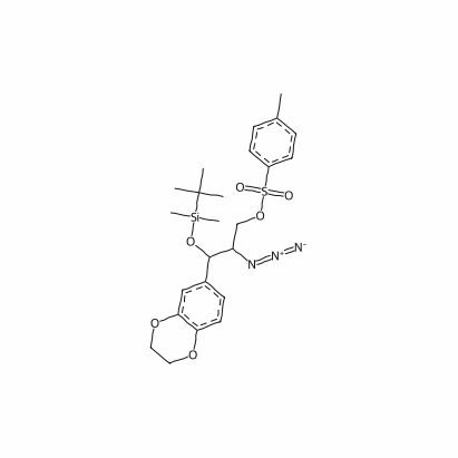 Cc1ccc(S(=O)(=O)OCC(N=[N+]=[N-])C(O[Si](C)(C)C(C)(C)C)c2ccc3c(c2)OCCO3)cc1